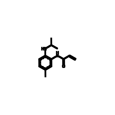 C=CC(=O)Nc1cc(C)ccc1NC(C)C